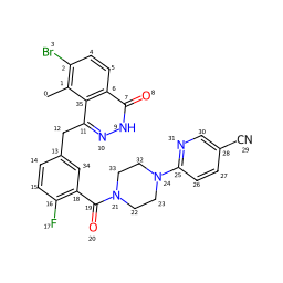 Cc1c(Br)ccc2c(=O)[nH]nc(Cc3ccc(F)c(C(=O)N4CCN(c5ccc(C#N)cn5)CC4)c3)c12